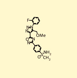 C=S(N)(=O)c1ccc(-c2noc(-c3nnn(-c4ccccc4F)c3COC)n2)cc1